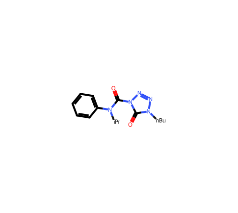 CCCCn1nnn(C(=O)N(c2ccccc2)C(C)C)c1=O